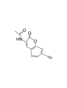 C#Cc1ccc2cc(NC(C)=O)c(=O)oc2c1